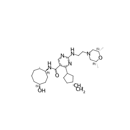 C[C@@H]1CN(CCNc2ncc(C(=O)N[C@@H]3[CH]CCC[C@H](O)CC3)c(C3CCCC3)n2)C[C@H](C)O1.[CH2].[CH2]